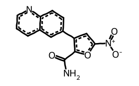 NC(=O)c1oc([N+](=O)[O-])cc1-c1ccc2ncccc2c1